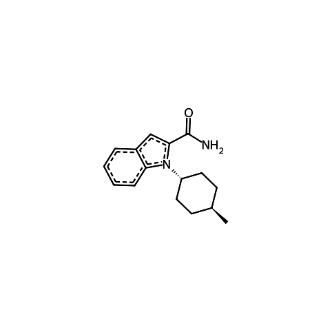 C[C@H]1CC[C@H](n2c(C(N)=O)cc3ccccc32)CC1